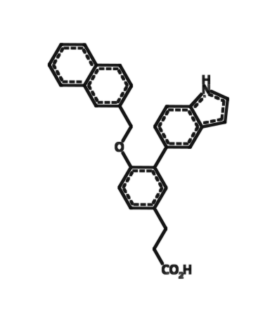 O=C(O)CCc1ccc(OCc2ccc3ccccc3c2)c(-c2ccc3[nH]ccc3c2)c1